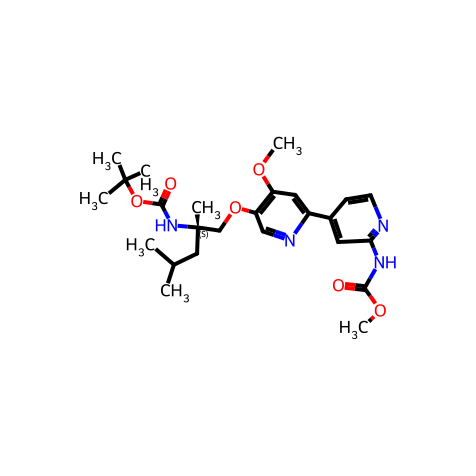 COC(=O)Nc1cc(-c2cc(OC)c(OC[C@](C)(CC(C)C)NC(=O)OC(C)(C)C)cn2)ccn1